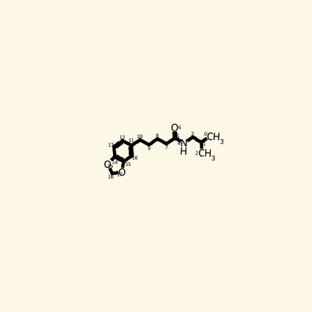 CC(C)CNC(=O)CCCCc1ccc2c(c1)OCO2